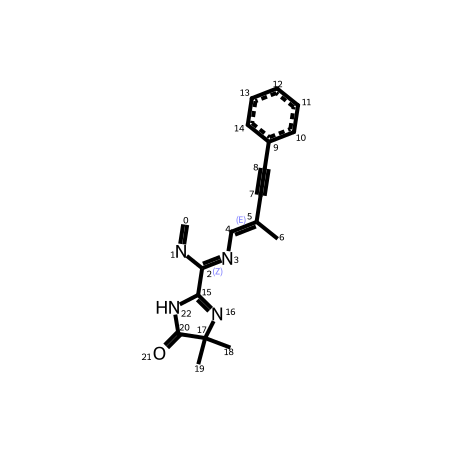 C=N/C(=N\C=C(/C)C#Cc1ccccc1)C1=NC(C)(C)C(=O)N1